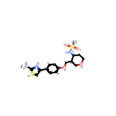 CCS(=O)(=O)NC1CCOCC1COc1ccc(-c2csc(C(F)(F)F)n2)cc1